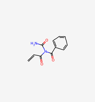 C=CC(=O)N(C(N)=O)C(=O)c1ccccc1